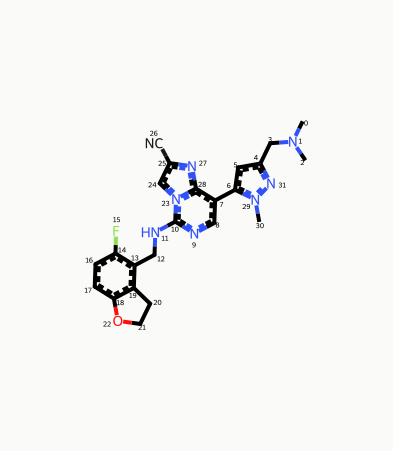 CN(C)Cc1cc(-c2cnc(NCc3c(F)ccc4c3CCO4)n3cc(C#N)nc23)n(C)n1